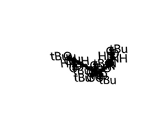 CC(C)(C)OC(=O)/N=C(/NCCCCCCCN(C(=O)OC(C)(C)C)/C(=N\C(=O)OC(C)(C)C)N(CCCOc1ccc(C(=N)NC(=O)OC(C)(C)C)nn1)C(=O)OC(C)(C)C)NC(=O)OC(C)(C)C